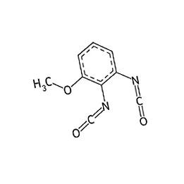 COc1cccc(N=C=O)c1N=C=O